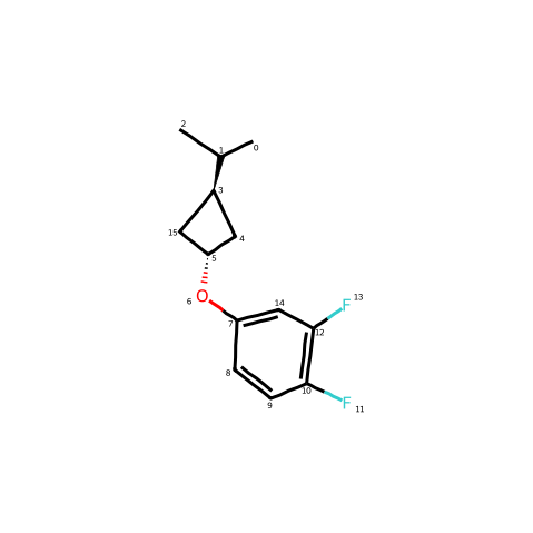 CC(C)[C@H]1C[C@H](Oc2ccc(F)c(F)c2)C1